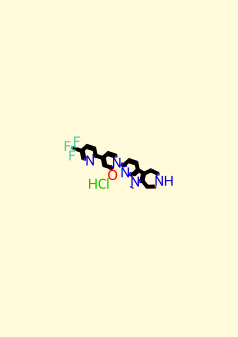 Cl.Cn1c2c(c3ccc(-n4ccc(-c5ccc(C(F)(F)F)cn5)cc4=O)nc31)CCNCC2